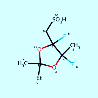 CCC1(C)OC(C)(F)C(F)(CS(=O)(=O)O)O1